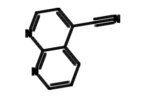 N#Cc1ccnc2ncccc12